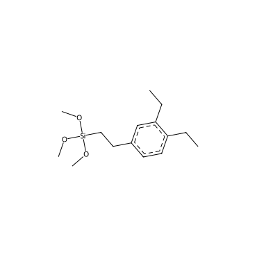 CCc1ccc(CC[Si](OC)(OC)OC)cc1CC